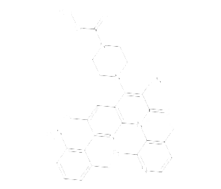 Cc1ccnc(C(C)C)c1-n1c(=O)c(C#N)c(N2CCN(C(=O)OC(C)(C)C)CC2)c2cc(Cl)c(-c3c(N)cccc3F)nc21